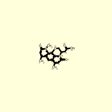 Cc1cc(=O)n(C)c2c3c4c(cc12)c(C)cc(=O)n4C(CC(=O)O)CO3